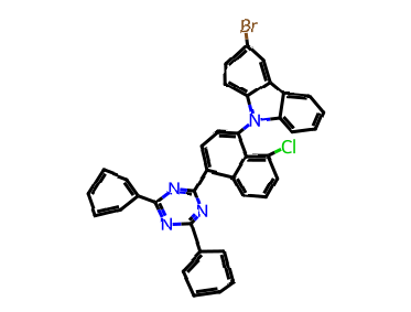 Clc1cccc2c(-c3nc(-c4ccccc4)nc(-c4ccccc4)n3)ccc(-n3c4ccccc4c4cc(Br)ccc43)c12